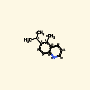 Cc1c(C(C)C)ccc2ncccc12